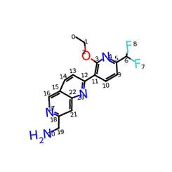 CCOc1nc(C(F)F)ccc1-c1ccc2cnc(CN)cc2n1